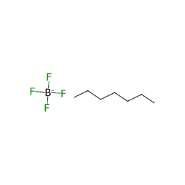 CCCCCCC.F[B-](F)(F)F